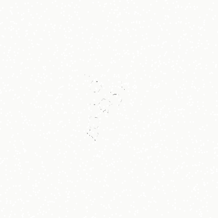 CCNc1ccc2nn(-c3ccc4nn(C)cc4c3)c(=O)c(-c3ccc(Cl)cc3)c2n1